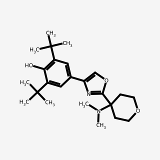 CN(C)C1(c2nc(-c3cc(C(C)(C)C)c(O)c(C(C)(C)C)c3)co2)CCOCC1